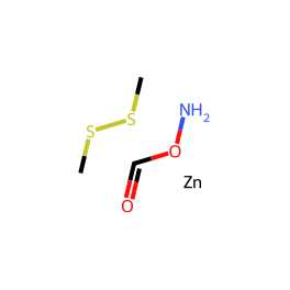 CSSC.NOC=O.[Zn]